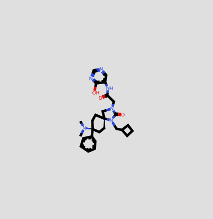 CN(C)[C@]1(c2ccccc2)CC[C@@]2(CC1)CN(CC(=O)Nc1cncnc1O)C(=O)N2CC1CCC1